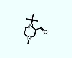 CN1CCN(C(C)(C)C)C(C=O)C1